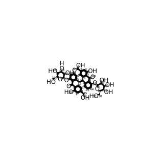 O=C(O)c1cc(O)c2c(c1)[C@H]([C@@H]1c3cc(CO)cc(O)c3C(=O)c3c(O[C@@H]4O[C@H](CO)[C@@H](O)[C@H](O)[C@H]4O)cccc31)c1cccc(O[C@@H]3O[C@H](CO)[C@@H](O)[C@H](O)[C@H]3O)c1C2=O